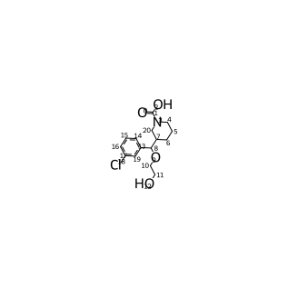 O=C(O)N1CCCC(C(OCCO)c2cccc(Cl)c2)C1